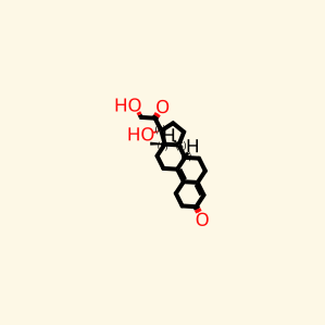 C[C@]12CCC3=C4CCC(=O)C=C4CC[C@H]3[C@@H]1CC[C@]2(O)C(=O)CO